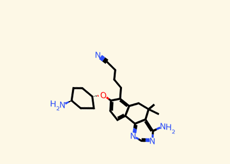 CC1(C)Cc2c(ccc(O[C@H]3CC[C@H](N)CC3)c2CCCC#N)-c2ncnc(N)c21